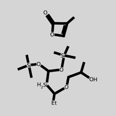 CC1=COC1=O.CCC(OCC(C)O)[SiH2]C(O[Si](C)(C)C)O[Si](C)(C)C